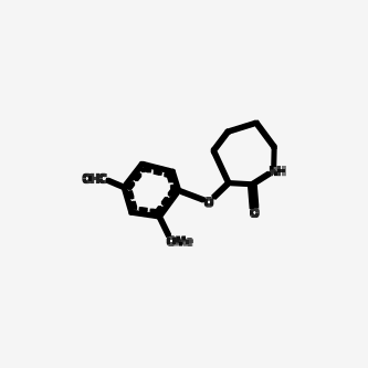 COc1cc(C=O)ccc1OC1CCCCNC1=O